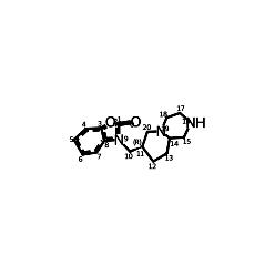 O=c1oc2ccccc2n1C[C@@H]1CCC2CNCCN2C1